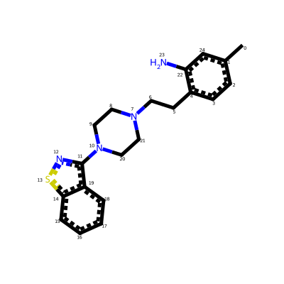 Cc1ccc(CCN2CCN(c3nsc4ccccc34)CC2)c(N)c1